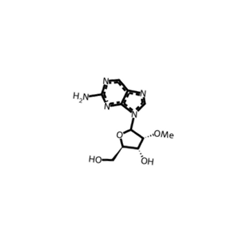 CO[C@H]1C(n2cnc3cnc(N)nc32)O[C@H](CO)[C@H]1O